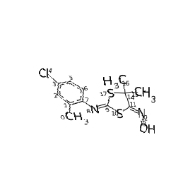 Cc1cc(Cl)ccc1/N=C1/S/C(=N\O)C(C)(C)S1